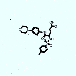 Cc1ccc(S(=O)(=O)NC(CCC(=O)O)C(=O)Nc2ccc(N3CCOCC3)cc2)cc1